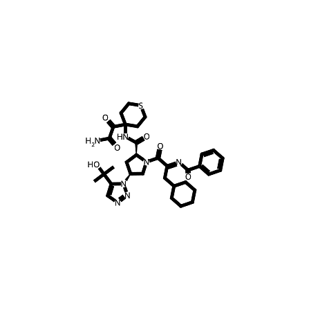 CC(C)(O)c1cnnn1[C@H]1C[C@@H](C(=O)NC2(C(=O)C(N)=O)CCSCC2)N(C(=O)/C(CC2CCCCC2)=N/C(=O)c2ccccc2)C1